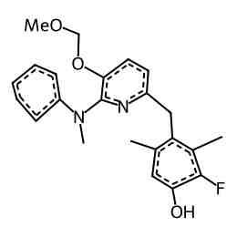 COCOc1ccc(Cc2c(C)cc(O)c(F)c2C)nc1N(C)c1ccccc1